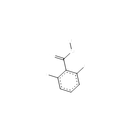 CNC(=O)c1c(F)cccc1F